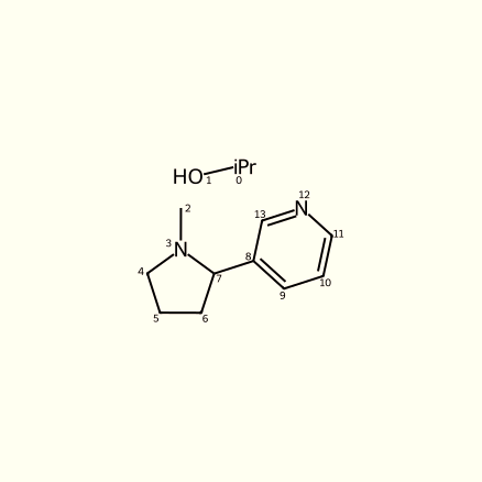 CC(C)O.CN1CCCC1c1cccnc1